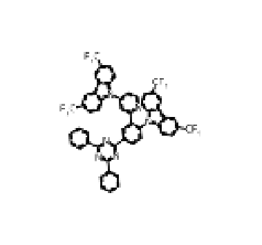 FC(F)(F)c1ccc2c(c1)c1cc(C(F)(F)F)ccc1n2-c1ccnc(-c2cc(-c3nc(-c4ccccc4)nc(-c4ccccc4)n3)ccc2-n2c3ccc(C(F)(F)F)cc3c3cc(C(F)(F)F)ccc32)c1